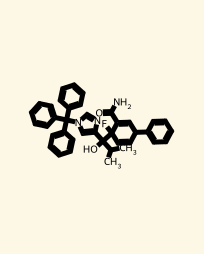 CC(C)C(O)(c1cn(C(c2ccccc2)(c2ccccc2)c2ccccc2)cn1)C1(F)C=CC(c2ccccc2)C=C1C(N)=O